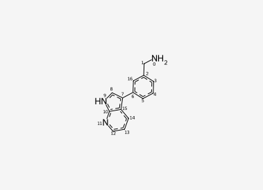 NCc1cccc(-c2c[nH]c3ncccc23)c1